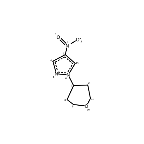 O=[N+]([O-])c1cnn(C2CCOCC2)c1